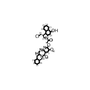 COc1cc2c(nc1OCC(=O)N1C[C@@H](CCl)c3c1cc(O)c1ccccc31)N=C[C@@H]1Cc3ccccc3CN1C2=O